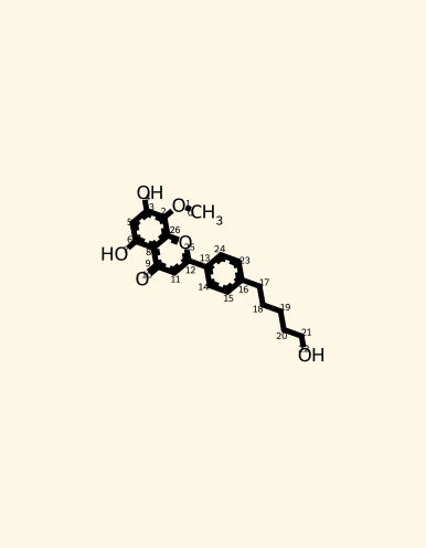 COc1c(O)cc(O)c2c(=O)cc(-c3ccc(CCCCCO)cc3)oc12